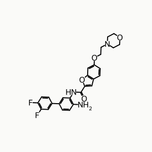 Nc1ccc(-c2ccc(F)c(F)c2)cc1NC(=O)c1cc2ccc(OCCN3CCOCC3)cc2o1